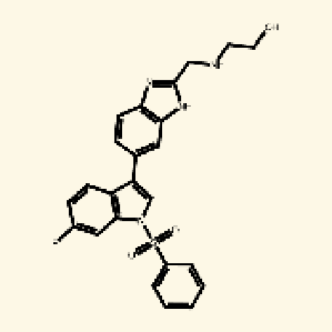 O=S(=O)(c1ccccc1)n1cc(-c2ccc3nc(CNCCO)[nH]c3c2)c2ccc(F)cc21